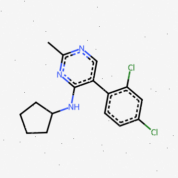 Cc1ncc(-c2ccc(Cl)cc2Cl)c(NC2CCCC2)n1